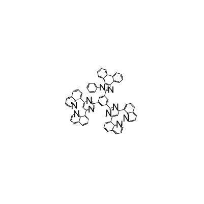 c1ccc(-n2c(-c3cc(-c4nc(-c5cccc6cccnc56)cc(-c5cccc6cccnc56)n4)cc(-c4nc(-c5cccc6cccnc56)cc(-c5cccc6cccnc56)n4)c3)nc3c4ccccc4c4ccccc4c32)cc1